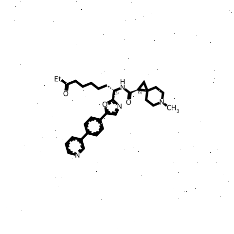 CCC(=O)CCCCC[C@H](NC(=O)[C@H]1CC12CCN(C)CC2)c1ncc(-c2ccc(-c3cccnc3)cc2)o1